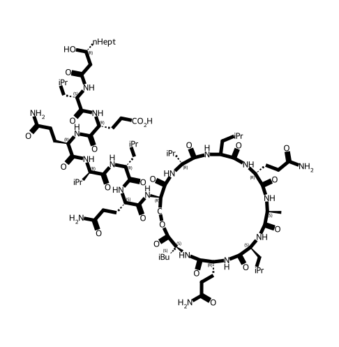 CCCCCCC[C@@H](O)CC(=O)N[C@@H](CC(C)C)C(=O)N[C@H](CCC(=O)O)C(=O)N[C@H](CCC(N)=O)C(=O)N[C@@H](C(=O)N[C@H](CC(C)C)C(=O)N[C@@H](CCC(N)=O)C(=O)N[C@@H]1COC(=O)[C@H]([C@@H](C)CC)NC(=O)[C@@H](CCC(N)=O)NC(=O)[C@H](CC(C)C)NC(=O)[C@H](C)NC(=O)[C@@H](CCC(N)=O)NC(=O)C(CC(C)C)NC(=O)[C@@H](C(C)C)NC1=O)C(C)C